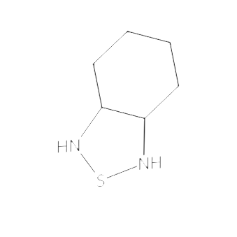 C1CCC2NSNC2C1